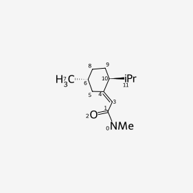 CNC(=O)/C=C1\C[C@H](C)CC[C@H]1C(C)C